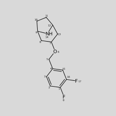 Fc1ccc(COC2CC3CCC(C2)N3)cc1F